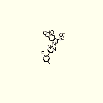 Cc1ccc(F)c(-c2cnc(-n3cc([S+](C)[O-])c4ccc(CC=O)cc43)nc2)c1